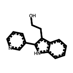 OCCc1c(-c2cccnc2)[nH]c2ccccc12